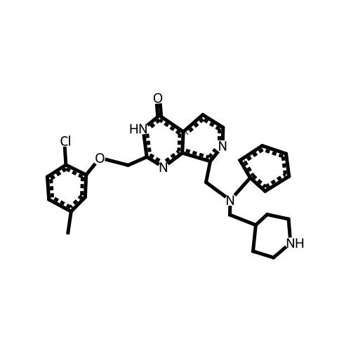 Cc1ccc(Cl)c(OCc2nc3c(CN(CC4CCNCC4)c4ccccc4)nccc3c(=O)[nH]2)c1